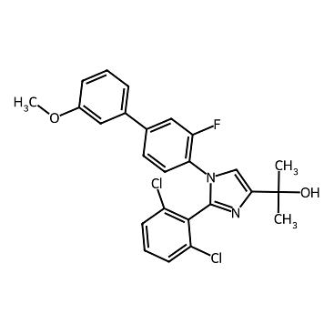 COc1cccc(-c2ccc(-n3cc(C(C)(C)O)nc3-c3c(Cl)cccc3Cl)c(F)c2)c1